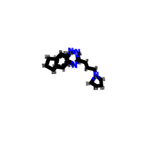 c1c2c(cc3nc(CCCN4CCCC4)nnc13)CCC2